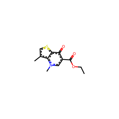 CCOC(=O)c1cn(C)c2c(C)csc2c1=O